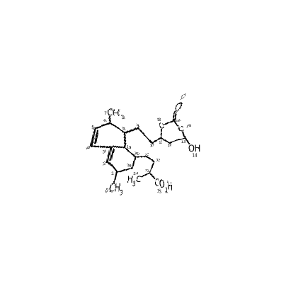 CC1C=C2C=CC(C)C(CCC3CC(O)CC(=O)O3)C2C(CCC(C)C(=O)O)C1